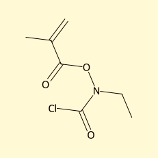 C=C(C)C(=O)ON(CC)C(=O)Cl